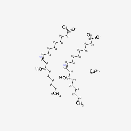 CCCCCCC(O)C/C=C\CCCCCCCC(=O)[O-].CCCCCCC(O)C/C=C\CCCCCCCC(=O)[O-].[Cu+2]